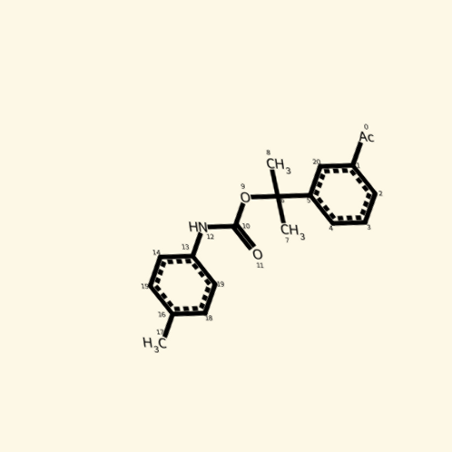 CC(=O)c1cccc(C(C)(C)OC(=O)Nc2ccc(C)cc2)c1